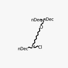 CCCCCCCCCCCCN(CCCl)CCCCCCCCCOCCN(CCCCCCCCCC)CCCCCCCCCC